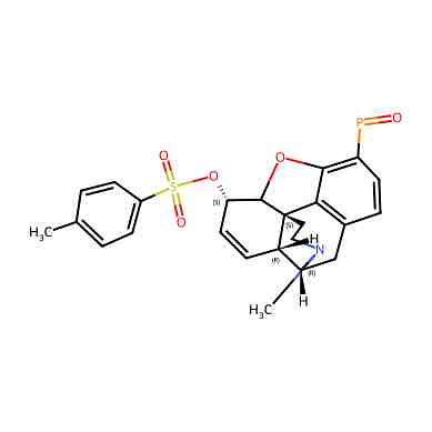 Cc1ccc(S(=O)(=O)O[C@H]2C=C[C@H]3[C@H]4Cc5ccc(P=O)c6c5[C@@]3(CCN4C)C2O6)cc1